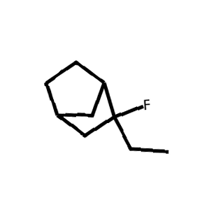 CCC1(F)CC2CCC1C2